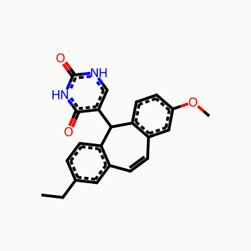 CCc1ccc2c(c1)C=Cc1cc(OC)ccc1C2c1c[nH]c(=O)[nH]c1=O